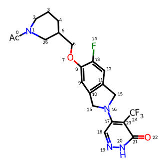 CC(=O)N1CCCC(COc2cc3c(cc2F)CN(c2cn[nH]c(=O)c2C(F)(F)F)C3)C1